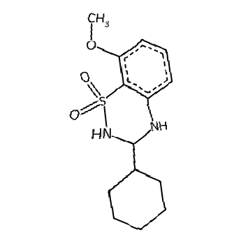 COc1cccc2c1S(=O)(=O)NC(C1CCCCC1)N2